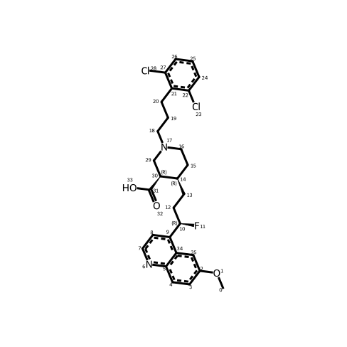 COc1ccc2nccc([C@H](F)CC[C@@H]3CCN(CCCc4c(Cl)cccc4Cl)C[C@@H]3C(=O)O)c2c1